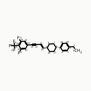 CCc1ccc([C@H]2CC[C@H](C=CC#Cc3cc(F)c(C(F)(F)F)c(F)c3)CC2)cc1